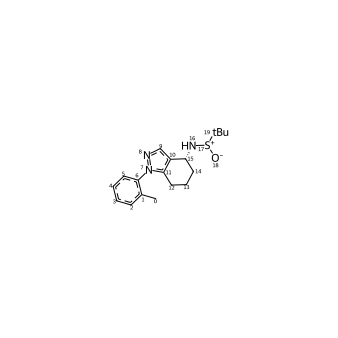 Cc1ccccc1-n1ncc2c1CCC[C@H]2N[S+]([O-])C(C)(C)C